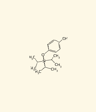 CC(C)[Si](Oc1ccc(O)cc1)(C(C)C)C(C)C